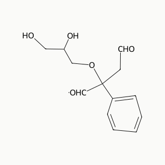 O=[C]C(CC=O)(OCC(O)CO)c1ccccc1